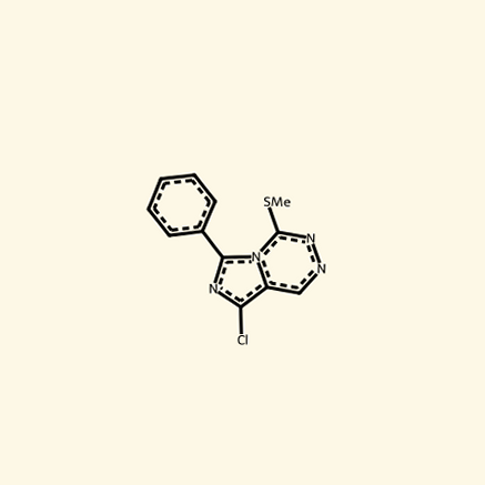 CSc1nncc2c(Cl)nc(-c3ccccc3)n12